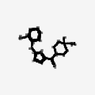 CC1(N)CCN(C(=O)c2ccc(Sc3ccccc3Cl)o2)CC1